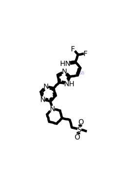 CS(=O)(=O)CCC1CCCN(c2cc(-c3cnc(/C=C\C(=N)C(F)F)[nH]3)ncn2)C1